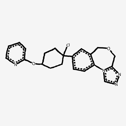 ClC1(c2ccc3c(c2)COCc2nncn2-3)CCC(Oc2ccccn2)CC1